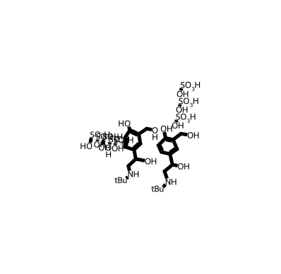 CC(C)(C)NCC(O)c1ccc(O)c(CO)c1.CC(C)(C)NCC(O)c1ccc(O)c(CO)c1.O=S(=O)(O)O.O=S(=O)(O)O.O=S(=O)(O)O.O=S(=O)(O)O.O=S(=O)(O)O.O=S(=O)(O)O.O=S(=O)(O)O.O=S(=O)(O)O